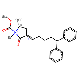 CC[N+]1(C(=O)OC(C)(C)C)C(=O)/C(=C/CCCC(c2ccccc2)c2ccccc2)C[C@H]1C(=O)[O-]